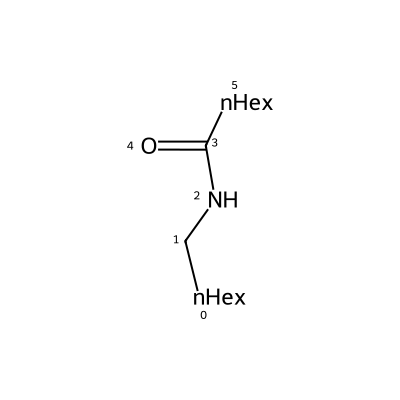 CCCCCCCNC(=O)CCCCCC